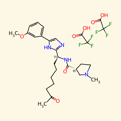 COc1cccc(-c2cnc([C@H](CCCCCC(C)=O)NC(=O)[C@@H]3CCN(C)C3)[nH]2)c1.O=C(O)C(F)(F)F.O=C(O)C(F)(F)F